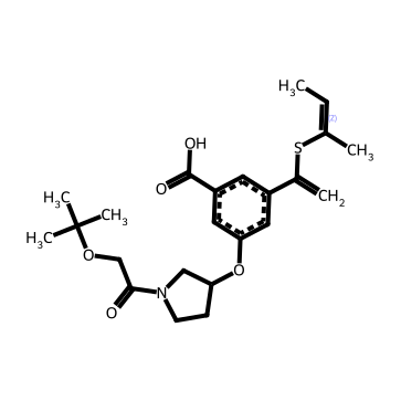 C=C(S/C(C)=C\C)c1cc(OC2CCN(C(=O)COC(C)(C)C)C2)cc(C(=O)O)c1